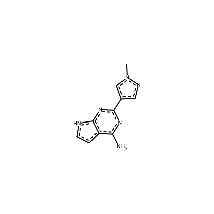 Cn1cc(-c2nc(N)c3cc[nH]c3n2)cn1